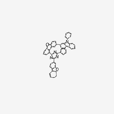 C1=Cc2c(oc3cc(-c4nc(-c5ccccc5)nc(-c5cccc6oc7ccc(-c8ccc9c%10ccccc%10n(-c%10ccccc%10)c9c8)cc7c56)n4)ccc23)CC1